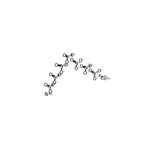 O=[N+]([O-])[O-].O=[N+]([O-])[O-].O=[N+]([O-])[O-].O=[N+]([O-])[O-].O=[N+]([O-])[O-].O=[N+]([O-])[O-].O=[N+]([O-])[O-].[Bi+3].[Co+2].[Fe+2]